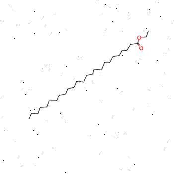 CCCCCCCCCCCCCCCCCCCCCCCCC(=O)OCC